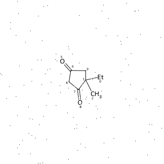 CCC1(C)CC(=O)CC1=O